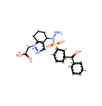 NN(C1CCCc2c1cnn2CC(=O)O)S(=O)(=O)c1cccc(C(=O)c2ccccc2)c1